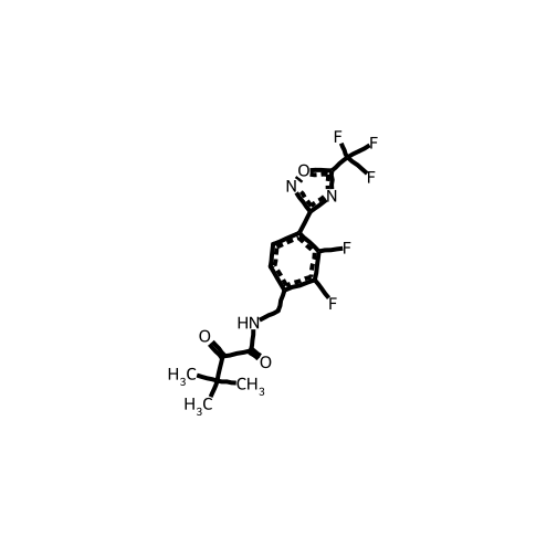 CC(C)(C)C(=O)C(=O)NCc1ccc(-c2noc(C(F)(F)F)n2)c(F)c1F